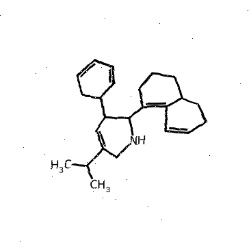 CC(C)C1=CC(C2C=CC=CC2)C(C2=C3C=CCCC3CCC2)NC1